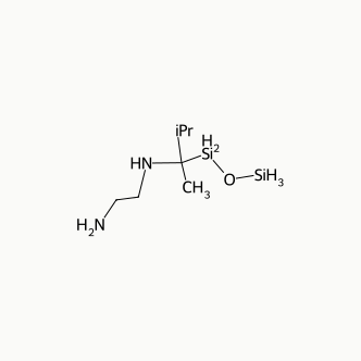 CC(C)C(C)(NCCN)[SiH2]O[SiH3]